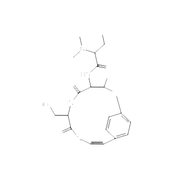 CC(C)CC1NC(=O)C(NC(=O)C(CC(C)C)N(C)C)C(C(C)C)Oc2ccc(cc2)/C=C\NC1=O